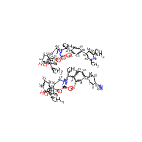 C[C@@H](c1ccc(-c2ccc(C#N)cn2)cc1)N1CC[C@](CC(C)(C)O)(c2ccccc2)OC1=O.Cc1cc(-c2ccc([C@H](C)N3CC[C@](CC(C)(C)O)(c4ccccc4)OC3=O)cc2)cc(C)n1